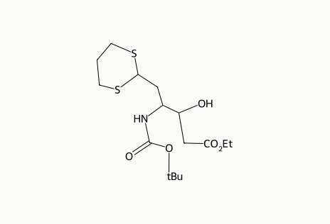 CCOC(=O)CC(O)C(CC1SCCCS1)NC(=O)OC(C)(C)C